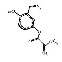 C=Cc1cc(OC(=O)C(=C)C)ccc1OC(C)=O